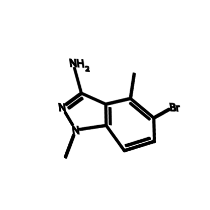 Cc1c(Br)ccc2c1c(N)nn2C